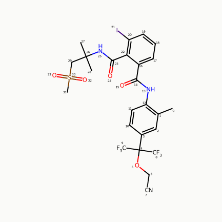 Cc1cc(C(OCC#N)(C(F)(F)F)C(F)(F)F)ccc1NC(=O)c1cccc(I)c1C(=O)NC(C)(C)CS(C)(=O)=O